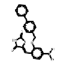 CCN(CC)c1ccc(/C=C2\SC(=S)NC2=O)c(OCc2ccc(-c3ccccc3)cc2)c1